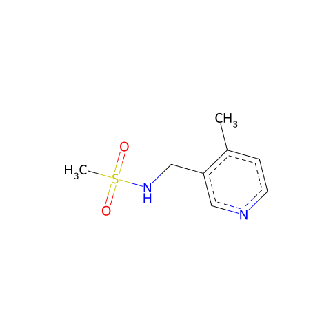 Cc1ccncc1CNS(C)(=O)=O